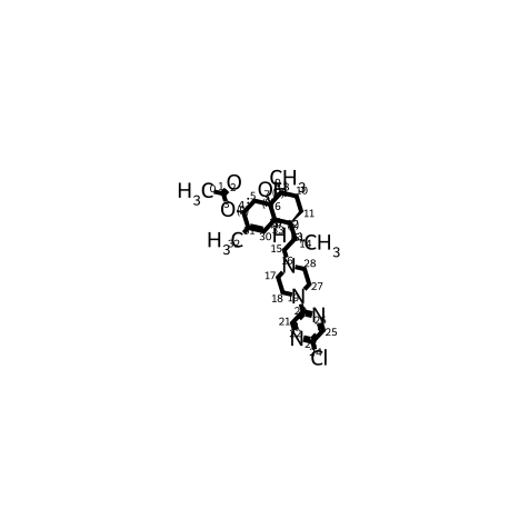 CC(=O)O[C@@H]1[C][C@@]2(O)[C@H](C)CC[C@@H]([C@H](C)CN3CCN(c4cnc(Cl)cn4)CC3)[C@H]2C=C1C